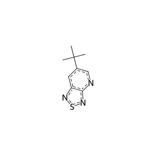 CC(C)(C)c1cnc2nsnc2c1